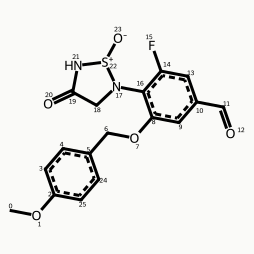 COc1ccc(COc2cc(C=O)cc(F)c2N2CC(=O)N[S+]2[O-])cc1